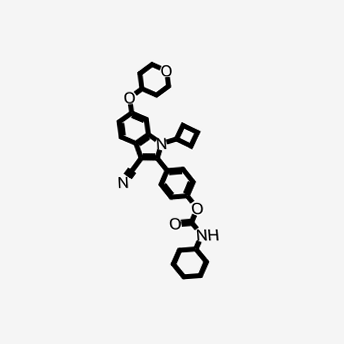 N#Cc1c(-c2ccc(OC(=O)NC3CCCCC3)cc2)n(C2CCC2)c2cc(OC3CCOCC3)ccc12